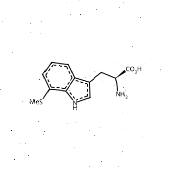 CSc1cccc2c(C[C@H](N)C(=O)O)c[nH]c12